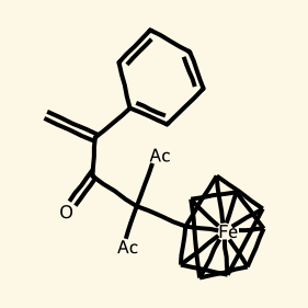 C=C(C(=O)C(C(C)=O)(C(C)=O)[C]12[CH]3[CH]4[CH]5[CH]1[Fe]45321678[CH]2[CH]1[CH]6[CH]7[CH]28)c1ccccc1